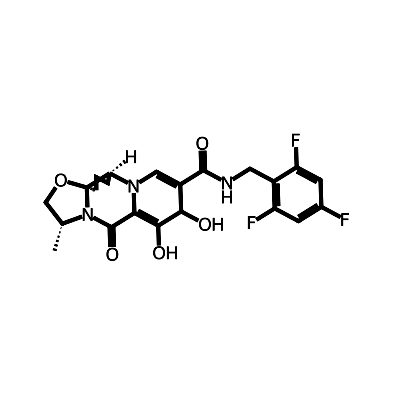 C[C@@H]1CO[C@@]23CCC[C@@H]2N2C=C(C(=O)NCc4c(F)cc(F)cc4F)C(O)C(O)=C2C(=O)N13